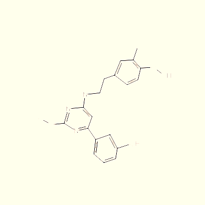 COc1nc(NCCc2ccc(OC)c(F)c2)cc(-c2cccc(O)c2)n1